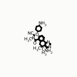 CN(CC#N)C(=O)c1c(O[C@H]2CC[C@H](N)CC2)ccc2c1CC(C)(C)c1c(N)ncnc1-2